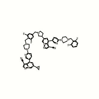 N#Cc1cnn2cc(C3CC3)cc(-c3ccc(N4CCN(Cc5c(F)cc(CN6CCC(c7cc(-c8ccc(N9CCN(Cc%10c(F)cccc%10F)CC9)nc8)c8c(C#N)cnn8c7)C6)cc5F)CC4)nc3)c12